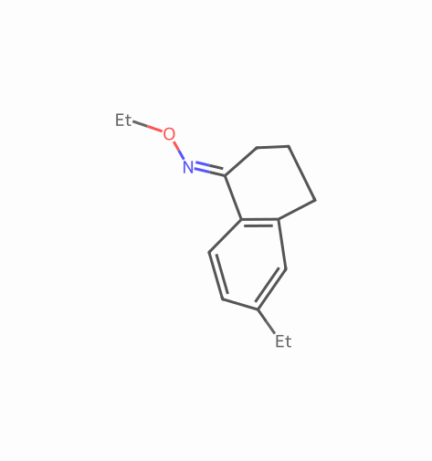 CCO/N=C1\CCCc2cc(CC)ccc21